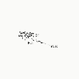 CCCCCCCCCCCCCCCCCCC(N)CC[N+](C)(C)[Si](OC)(OC)OC.[Cl-]